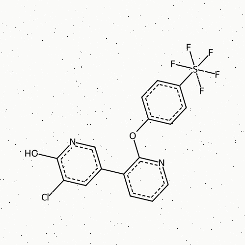 Oc1ncc(-c2cccnc2Oc2ccc(S(F)(F)(F)(F)F)cc2)cc1Cl